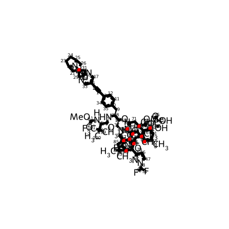 COC(=O)N[C@H](C(=O)N[C@@H](Cc1ccc(C#Cc2cnc(N3CC4CCC(C3)N4C3COC3)nc2)cc1)[C@H](CN(Cc1c(F)cc(-c2ccn(C(F)F)n2)cc1F)NC(=O)[C@@H](NC(=O)OC)C(C)(C)C(F)(F)F)OC(=O)CC(C)(C)c1c(CC(=O)N2CC(C)(C)C[C@H]2C(=O)O)cc(C)cc1OP(=O)(O)O)C(C)(C)C(F)(F)F